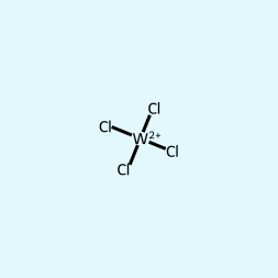 [Cl][W+2]([Cl])([Cl])[Cl]